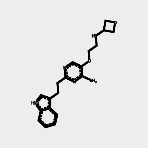 Nc1nc(CCc2c[nH]c3ccccc23)ncc1OCCNC1COC1